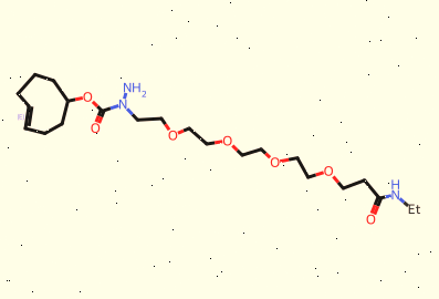 CCNC(=O)CCOCCOCCOCCOCCN(N)C(=O)OC1CC/C=C/CCC1